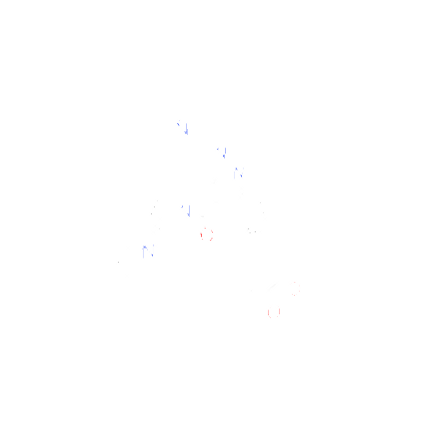 CN(C)CCN(C)c1cc(C(=O)N2CCC[C@H]2CN2CCCC2)c2cc(-c3ccc4c(c3)OCO4)ccc2n1